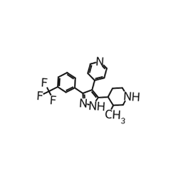 CC1CNCCC1c1[nH]nc(-c2cccc(C(F)(F)F)c2)c1-c1ccncc1